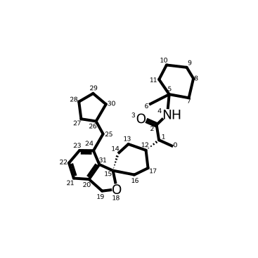 CC(C(=O)NC1(C)CCCCC1)[C@H]1CC[C@]2(CC1)OCc1cccc(CC3CCCC3)c12